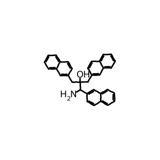 NC(c1ccc2ccccc2c1)C(O)(Cc1ccc2ccccc2c1)Cc1ccc2ccccc2c1